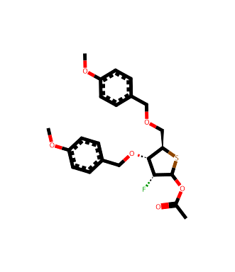 COc1ccc(COC[C@H]2SC(OC(C)=O)[C@H](F)[C@@H]2OCc2ccc(OC)cc2)cc1